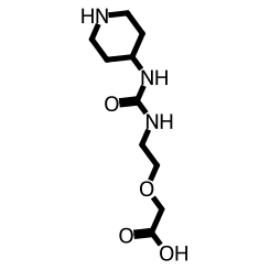 O=C(O)COCCNC(=O)NC1CCNCC1